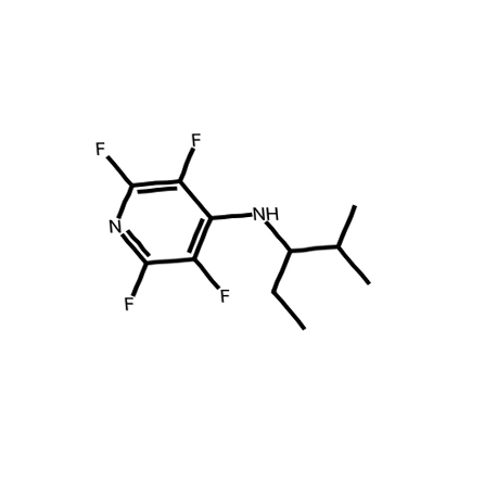 CCC(Nc1c(F)c(F)nc(F)c1F)C(C)C